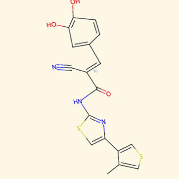 Cc1cscc1-c1csc(NC(=O)/C(C#N)=C/c2ccc(O)c(O)c2)n1